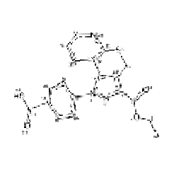 CCOC(=O)c1nn(-c2ccc(C(=O)O)cc2)c2c1CSc1ncccc1-2